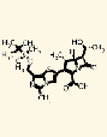 Cc1nc(CO[Si](C)(C)C(C)(C)C)c2sc(C3=C(C(=O)O)N4C(=O)[C@H]([C@@H](C)O)[C@H]4[C@H]3C)cn12